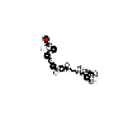 O=C(NC(c1ccccc1)c1cccc(OCc2ccc(C(=O)N3CCC(C(=O)OCCCCNC[C@@H](O)c4ccc(O)c5[nH]c(=O)ccc45)CC3)cc2)c1)O[C@H]1CN2CCC1CC2